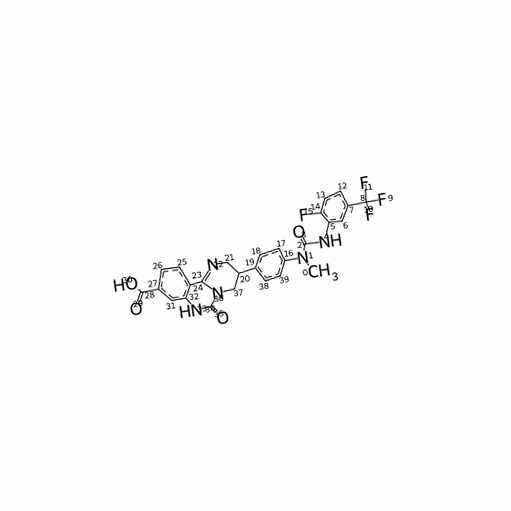 CN(C(=O)Nc1cc(C(F)(F)F)ccc1F)c1ccc(C2CN=C3c4ccc(C(=O)O)cc4NC(=O)N3C2)cc1